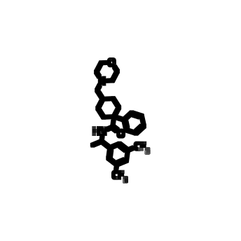 CC(NC(=O)C1(c2ccccc2)CCC(CN2CCOCC2)CC1)c1cc(C(F)(F)F)cc(C(F)(F)F)c1